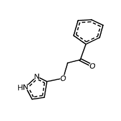 O=C(COc1cc[nH]n1)c1ccccc1